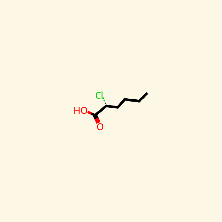 CCCC[C@@H](Cl)C(=O)O